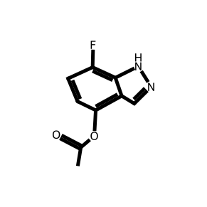 CC(=O)Oc1ccc(F)c2[nH]ncc12